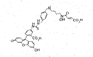 CN(CCCCN(O)C(=O)/C=C/C(=O)O)Cc1ccc(CNC(=S)Nc2ccc(-c3c4ccc(=O)cc-4oc4cc(O)ccc34)c(C(=O)O)c2)cc1